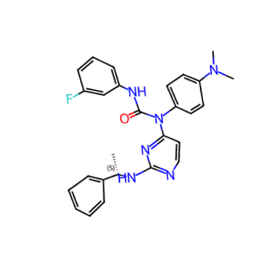 C[C@H](Nc1nccc(N(C(=O)Nc2cccc(F)c2)c2ccc(N(C)C)cc2)n1)c1ccccc1